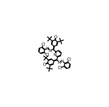 CC(C)(C)C1=CC(=C(/N=N/c2c(Cl)cccc2Cl)c2cccc(C(/N=N/c3c(Cl)cccc3Cl)=C3C=C(C(C)(C)C)C(=O)C(C(C)(C)C)=C3)n2)C=C(C(C)(C)C)C1=O